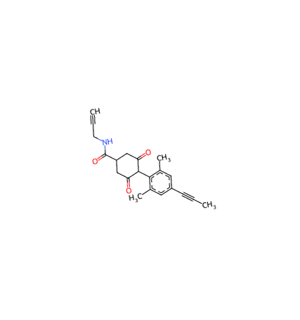 C#CCNC(=O)C1CC(=O)C(c2c(C)cc(C#CC)cc2C)C(=O)C1